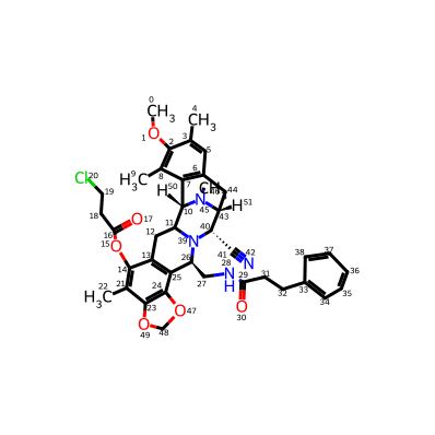 COc1c(C)cc2c(c1C)[C@H]1C3Cc4c(OC(=O)CCCl)c(C)c5c(c4[C@H](CNC(=O)CCc4ccccc4)N3[C@@H](C#N)[C@@H](C2)N1C)OCO5